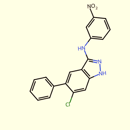 O=[N+]([O-])c1cccc(Nc2n[nH]c3cc(Cl)c(-c4ccccc4)cc23)c1